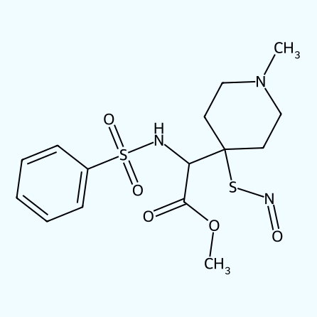 COC(=O)C(NS(=O)(=O)c1ccccc1)C1(SN=O)CCN(C)CC1